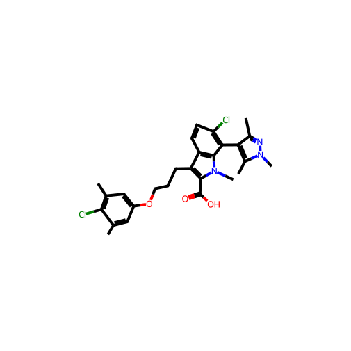 Cc1cc(OCCCc2c(C(=O)O)n(C)c3c(-c4c(C)nn(C)c4C)c(Cl)ccc23)cc(C)c1Cl